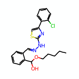 CCCCCOC(O)c1ccccc1/C=N/Nc1nc(-c2ccccc2Cl)cs1